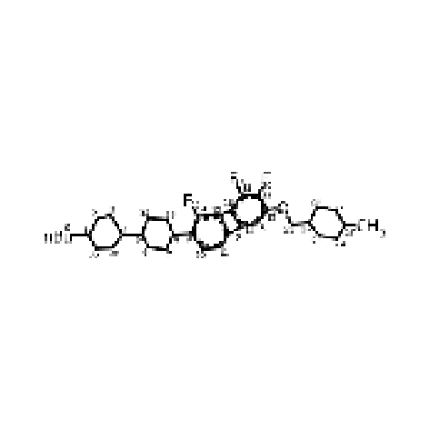 CCCCC1CCC(C2CCC(c3ccc4c(c3F)-c3c-4cc(OCC4CCC(C)CC4)c(F)c3F)CC2)CC1